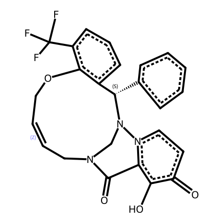 O=C1c2c(O)c(=O)ccn2N2CN1C/C=C\COc1c(cccc1C(F)(F)F)[C@@H]2c1ccccc1